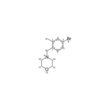 Cc1cc(Br)ccc1CN1CCOCC1